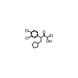 CCC(O)C(=O)C(CC1CCCC1)c1ccc(Cl)c(Cl)c1